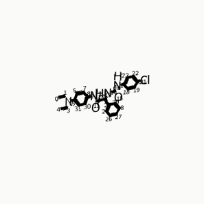 CCN(CC)c1ccc(NC(=O)C(NC(=O)Nc2ccc(Cl)cc2)c2ccccc2)cc1